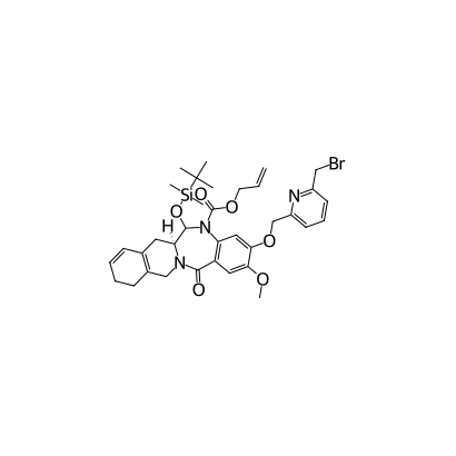 C=CCOC(=O)N1c2cc(OCc3cccc(CBr)n3)c(OC)cc2C(=O)N2CC3=C(C=CCC3)C[C@H]2C1O[Si](C)(C)C(C)(C)C